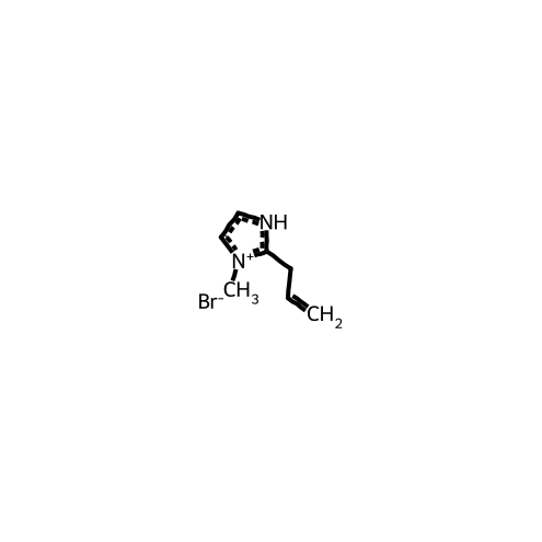 C=CCc1[nH]cc[n+]1C.[Br-]